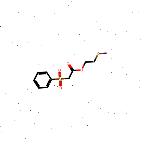 O=C(CS(=O)(=O)c1ccccc1)OCCSI